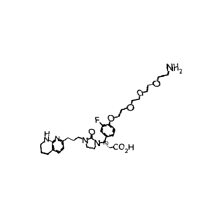 NCCOCCOCCOCCOc1ccc([C@H](CC(=O)O)N2CCN(CCCc3ccc4c(n3)NCCC4)C2=O)cc1F